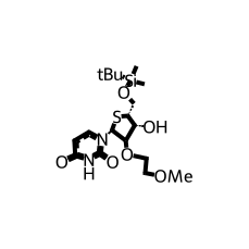 COCCOC1[C@@H](O)[C@@H](CO[Si](C)(C)C(C)(C)C)S[C@H]1n1ccc(=O)[nH]c1=O